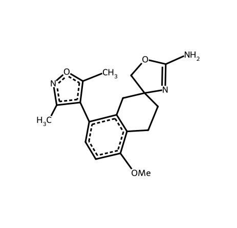 COc1ccc(-c2c(C)noc2C)c2c1CCC1(COC(N)=N1)C2